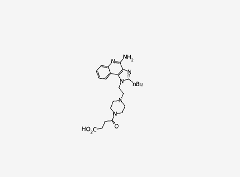 CCCCc1nc2c(N)nc3ccccc3c2n1CCN1CCN(C(=O)CCC(=O)O)CC1